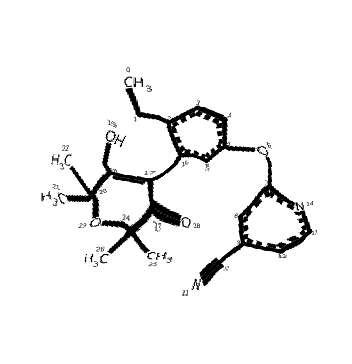 CCc1ccc(Oc2cc(C#N)ccn2)cc1C1=C(O)C(C)(C)OC(C)(C)C1=O